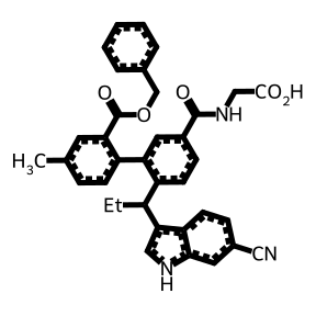 CCC(c1ccc(C(=O)NCC(=O)O)cc1-c1ccc(C)cc1C(=O)OCc1ccccc1)c1c[nH]c2cc(C#N)ccc12